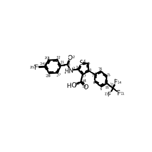 O=C(Nc1scc(-c2ccc(C(F)(F)F)cc2)c1C(=O)O)c1ccc(F)cc1